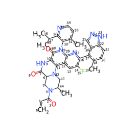 C=CC(=O)N1CC2C(=O)Nc3c(c4cc(F)c(-c5c(C)ccc6[nH]ncc56)nc4n(-c4c(C)ccnc4C(C)C)c3=O)N2CC1C